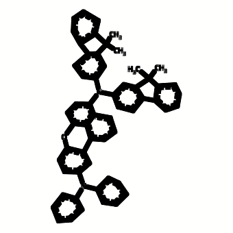 CC1(C)c2ccccc2-c2ccc(N(c3ccc4c(c3)C(C)(C)c3ccccc3-4)c3ccc4c5c(cccc35)-c3cc(N(c5ccccc5)c5ccccc5)ccc3O4)cc21